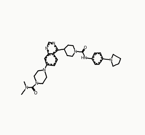 CN(C)C(=O)N1CCN(c2ccc3c(C4CCN(C(=O)Nc5ccc(N6CCCC6)cc5)CC4)ncnc3c2)CC1